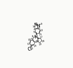 Cn1ncc2cc(N(Cc3ccc(Cl)cc3)C3CCCC3)ccc21